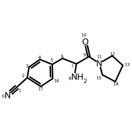 N#Cc1ccc(CC(N)C(=O)N2CCCC2)cc1